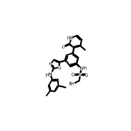 Cc1cc(C)cc(Nc2ncc(-c3cc(NS(=O)(=O)CC(C)C)cc(-c4c(C)cc[nH]c4=O)c3)o2)c1